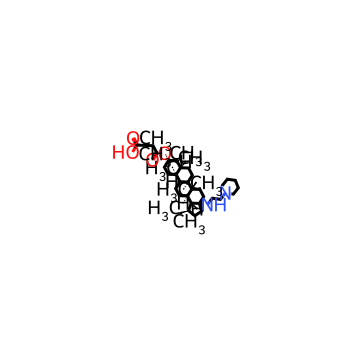 CC(C)[C@@H]1CC[C@]2(NCCN3CCCCC3)CC[C@]3(C)[C@H](CC[C@@H]4[C@@]5(C)CC[C@H](OC(=O)CC(C)(C)C(=O)O)C(C)(C)[C@@H]5CC[C@]43C)[C@@H]12